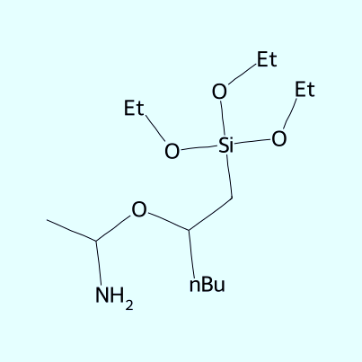 CCCCC(C[Si](OCC)(OCC)OCC)OC(C)N